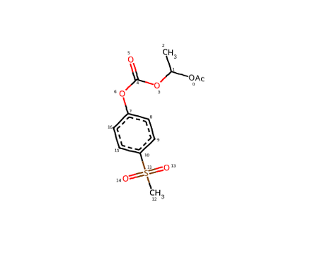 CC(=O)OC(C)OC(=O)Oc1ccc(S(C)(=O)=O)cc1